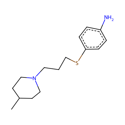 CC1CCN(CCCSc2ccc(N)cc2)CC1